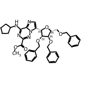 COC(=O)c1nc(NC2CCCC2)c2ncc([C@@H]3O[C@H](COCc4ccccc4)[C@@H](OCc4ccccc4)[C@H]3OCc3ccccc3)n2n1